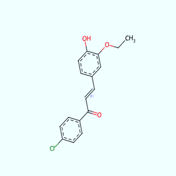 CCOc1cc(/C=C/C(=O)c2ccc(Cl)cc2)ccc1O